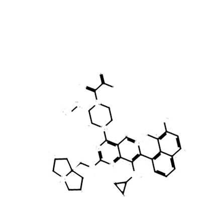 C=C(F)C(=O)N1CCN(c2nc(OC[C@@]34CCCN3C[C@H](F)C4)nc3c(OC4CC4)c(-c4cccc5ccc(F)c(Cl)c45)ncc23)C[C@@H]1CC#N